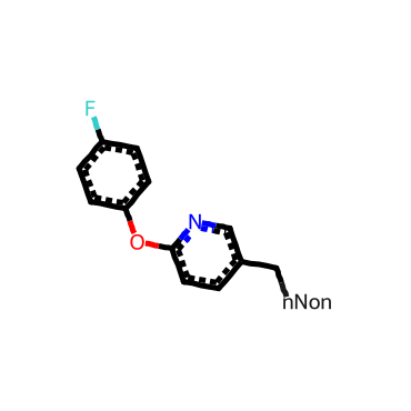 CCCCCCCCCCc1ccc(Oc2ccc(F)cc2)nc1